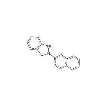 c1ccc2c(c1)CN(c1ccc3ccccc3c1)N2